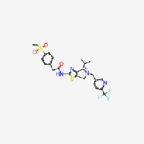 CCS(=O)(=O)c1ccc(CC(=O)Nc2nc3c(s2)CN(Cc2ccc(C(F)(F)F)nc2)[C@@H]3C(C)C)cc1